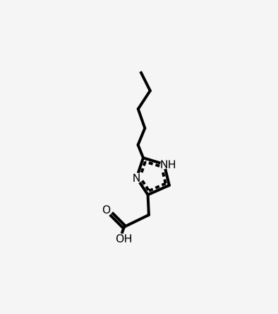 CCCCCc1nc(CC(=O)O)c[nH]1